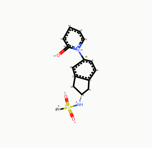 CC(C)S(=O)(=O)N[C@H]1Cc2ccc(-n3ccccc3=O)cc2C1